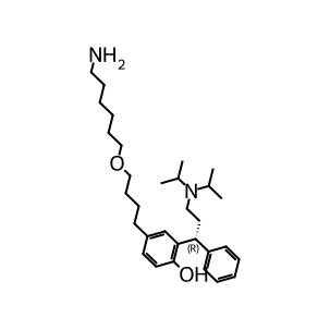 CC(C)N(CC[C@H](c1ccccc1)c1cc(CCCCOCCCCCCN)ccc1O)C(C)C